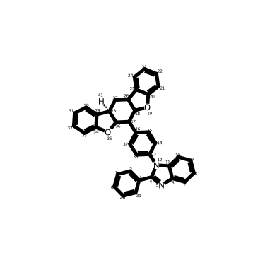 c1ccc(-c2nc3ccccc3n2-c2ccc(C3C4Oc5ccccc5C4C[C@@H]4c5ccccc5OC34)cc2)cc1